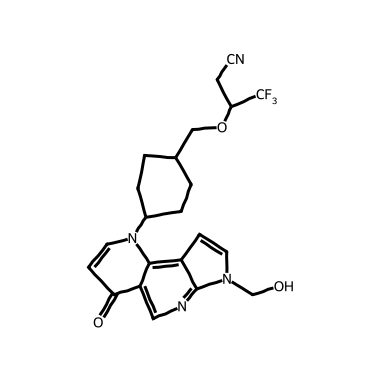 N#CCC(OCC1CCC(n2ccc(=O)c3cnc4c(ccn4CO)c32)CC1)C(F)(F)F